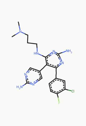 CN(C)CCCNc1nc(N)nc(-c2ccc(F)c(Cl)c2)c1-c1cnc(N)nc1